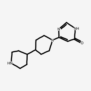 O=c1cc(N2CCC(C3CCNCC3)CC2)nc[nH]1